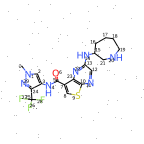 Cn1cc(NC(=O)c2csc3ncc(NC4CCCCNC4)nc23)c(C(F)(F)F)n1